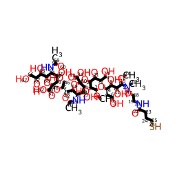 CO[C@@H](O[C@H](CCO)C(O)C(O)[C@@H](OC)N(C)OCCNC(=O)CCCS)C(O)C(OC1(C(=O)O)CC(O)[C@@H](NC(C)=O)C(C[C@@H](CO)OC2(C(=O)O)CC(O)[C@@H](NC(C)=O)C(C(O)[C@H](O)CO)O2)O1)[C@@H](O)CCO